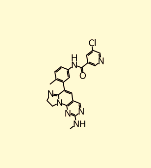 CNc1ncc2c(n1)N1CCN=C1C(c1cc(NC(=O)c3cncc(Cl)c3)ccc1C)=C2